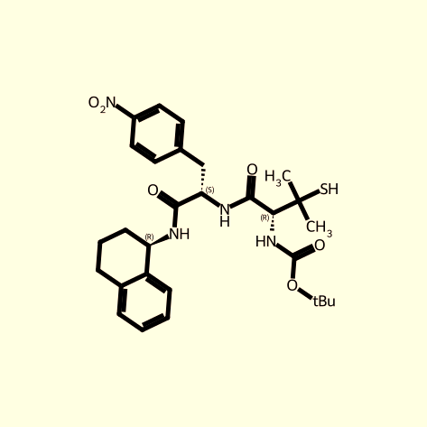 CC(C)(C)OC(=O)N[C@H](C(=O)N[C@@H](Cc1ccc([N+](=O)[O-])cc1)C(=O)N[C@@H]1CCCc2ccccc21)C(C)(C)S